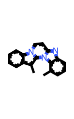 Cc1cccc2nc3ccn4c5ccccc5c(C)c4n3c12